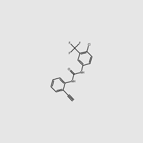 C#Cc1ccccc1NC(=O)Nc1ccc(Cl)c(C(F)(F)F)c1